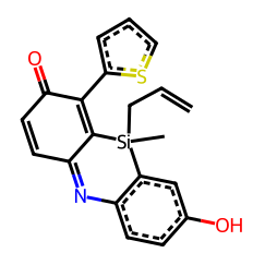 C=CC[Si]1(C)C2=C(c3cccs3)C(=O)C=CC2=Nc2ccc(O)cc21